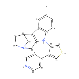 Cc1ccc2c(c1)c1c(n2-c2cscc2-c2ccncc2)CN2CCC1C2